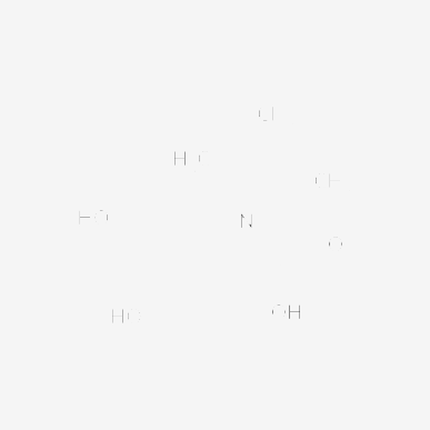 CC(C)(C)N(C(=O)O)C(CO)CO